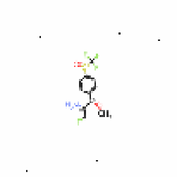 CO[C@H](c1ccc([S+]([O-])C(F)(F)F)cc1)[C@H](N)CF